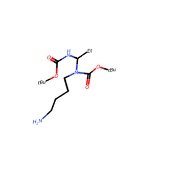 CCC(NC(=O)OC(C)(C)C)N(CCCCN)C(=O)OC(C)(C)C